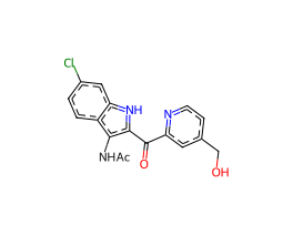 CC(=O)Nc1c(C(=O)c2cc(CO)ccn2)[nH]c2cc(Cl)ccc12